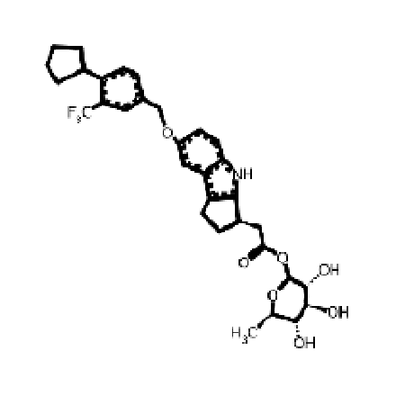 C[C@H]1OC(OC(=O)C[C@H]2CCc3c2[nH]c2ccc(OCc4ccc(C5CCCC5)c(C(F)(F)F)c4)cc32)[C@H](O)[C@@H](O)[C@@H]1O